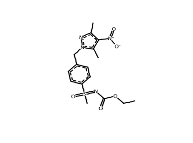 CCOC(=O)N=S(C)(=O)c1ccc(Cn2nc(C)c([N+](=O)[O-])c2C)cc1